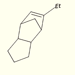 CCC1=CC2CC1C1CCCC21